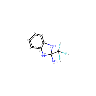 NC1(C(F)(F)F)Nc2ccccc2N1